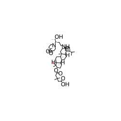 CC(C)[C@@H]1CC[C@]2(NCC[C@H]([C@H](C)O)N3CCS(=O)(=O)CC3)CC[C@]3(C)[C@H](CC[C@@H]4[C@@]5(C)CC[C@H](OC(=O)CC(C)(C)CC(=O)O)C(C)(C)[C@@H]5CC[C@]43C)[C@@H]12